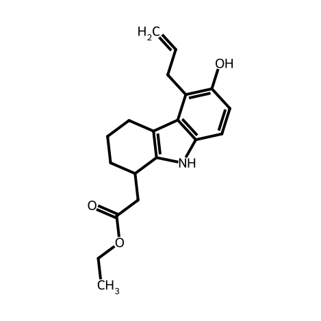 C=CCc1c(O)ccc2[nH]c3c(c12)CCCC3CC(=O)OCC